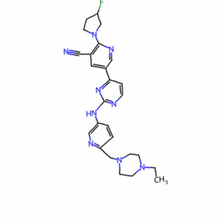 CCN1CCN(Cc2ccc(Nc3nccc(-c4cnc(N5CCC(F)C5)c(C#N)c4)n3)cn2)CC1